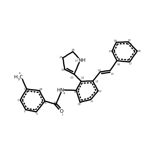 Cc1cccc(C(=O)Nc2cccc(/C=C/c3ccccc3)c2C2=CCCN2)c1